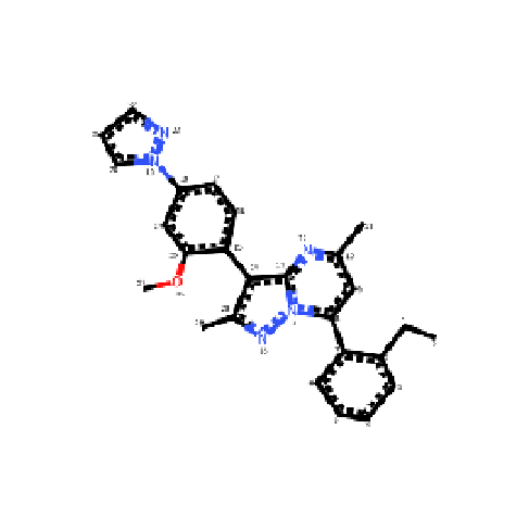 CCc1ccccc1-c1cc(C)nc2c(-c3ccc(-n4cccn4)cc3OC)c(C)nn12